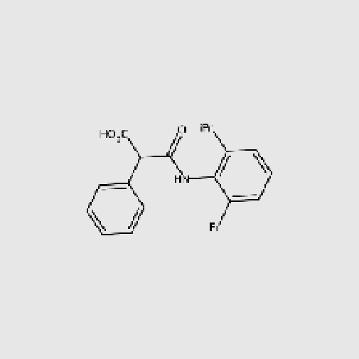 CC(C)c1cccc(C(C)C)c1NC(=O)C(C(=O)O)c1ccccc1